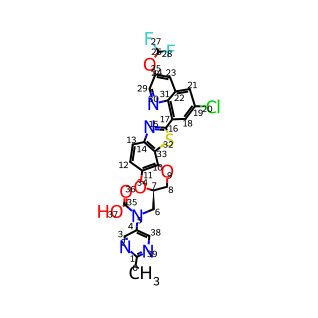 Cc1ncc(N(C[C@@H]2COc3c(ccc4nc(-c5cc(Cl)cc6cc(OC(F)F)cnc56)sc34)O2)C(=O)O)cn1